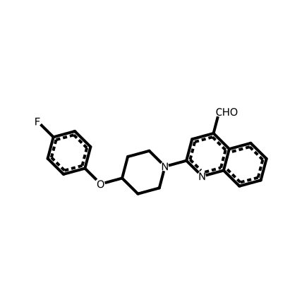 O=Cc1cc(N2CCC(Oc3ccc(F)cc3)CC2)nc2ccccc12